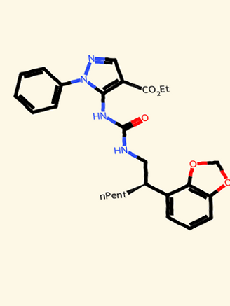 CCCCC[C@@H](CNC(=O)Nc1c(C(=O)OCC)cnn1-c1ccccc1)c1cccc2c1OCO2